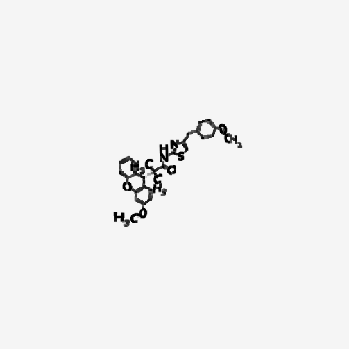 COc1ccc(Cc2csc(NC(=O)C(C)(C)[C@H]3c4ccccc4Oc4cc(OC)ccc43)n2)cc1